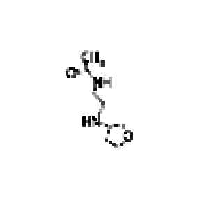 CC(=O)NCCNC1CCOC1